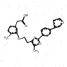 Cc1ccc(CC(=O)O)cc1OCCc1nc(-c2ccc(-c3ccsc3)cc2)oc1C